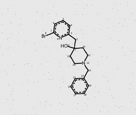 OC1(Cc2cccc(Br)n2)CCN(Cc2ccccc2)CC1